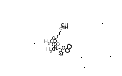 CC(OC(=O)CCCCCONO)OC(=O)N(C)CC[C@H](Oc1cccc2ccccc12)c1cccs1